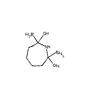 BC1(O)CCCCC(B)(O)N1